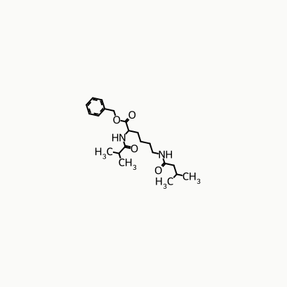 CC(C)CC(=O)NCCCCC(NC(=O)C(C)C)C(=O)OCc1ccccc1